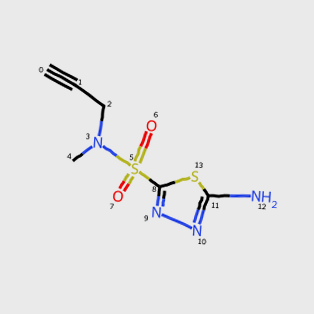 C#CCN(C)S(=O)(=O)c1nnc(N)s1